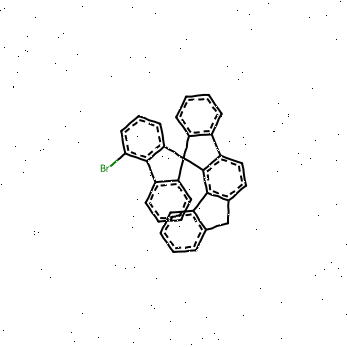 Brc1cccc2c1-c1ccccc1C21c2ccccc2-c2ccc3c(c21)-c1ccccc1C3